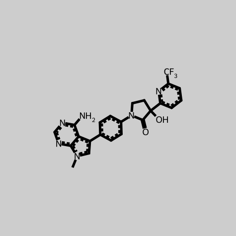 Cn1cc(-c2ccc(N3CCC(O)(c4cccc(C(F)(F)F)n4)C3=O)cc2)c2c(N)ncnc21